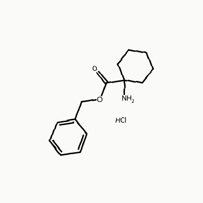 Cl.NC1(C(=O)OCc2ccccc2)CCCCC1